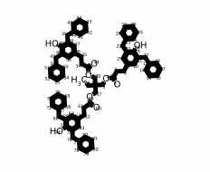 CCC(COC(=O)CCc1cc(Cc2ccccc2)c(O)c(Cc2ccccc2)c1)(COC(=O)CCc1cc(Cc2ccccc2)c(O)c(Cc2ccccc2)c1)COC(=O)CCc1cc(Cc2ccccc2)c(O)c(Cc2ccccc2)c1